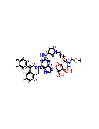 CCNC(=O)[C@H]1O[C@@H](n2cnc3c(NCC(c4ccccc4)c4ccccc4)nc(NC4CCN(CC)C4)nc32)[C@H](O)[C@@H]1O